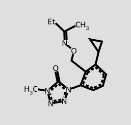 CCC(C)=NOCc1c(C2CC2)cccc1-n1nnn(C)c1=O